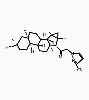 C[C@@]1(O)CC[C@H]2[C@H](CC[C@@H]3[C@@H]2CC[C@@]2(C)[C@H]3[C@@H]3C[C@@H]3[C@H]2C(=O)Cn2ccc(C#N)n2)C1